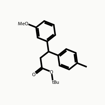 COc1cccc(C(CC(=O)OC(C)(C)C)c2ccc(C)cc2)c1